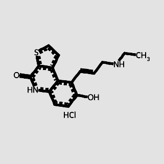 CCNC/C=C/c1c(O)ccc2[nH]c(=O)c3sccc3c12.Cl